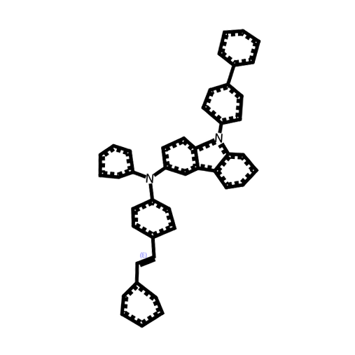 C(=C\c1ccc(N(c2ccccc2)c2ccc3c(c2)c2ccccc2n3-c2ccc(-c3ccccc3)cc2)cc1)/c1ccccc1